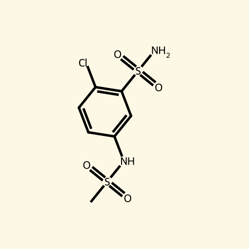 CS(=O)(=O)Nc1ccc(Cl)c(S(N)(=O)=O)c1